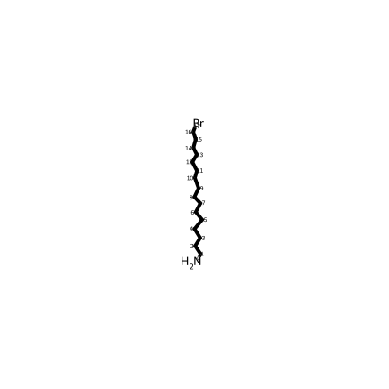 NCCCCCCCCCCCCCCCCBr